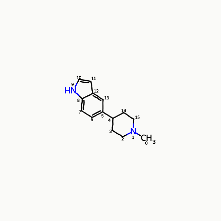 CN1CCC(c2ccc3[nH]ccc3c2)CC1